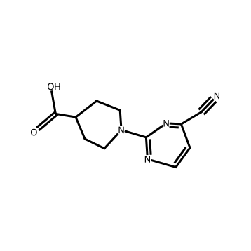 N#Cc1ccnc(N2CCC(C(=O)O)CC2)n1